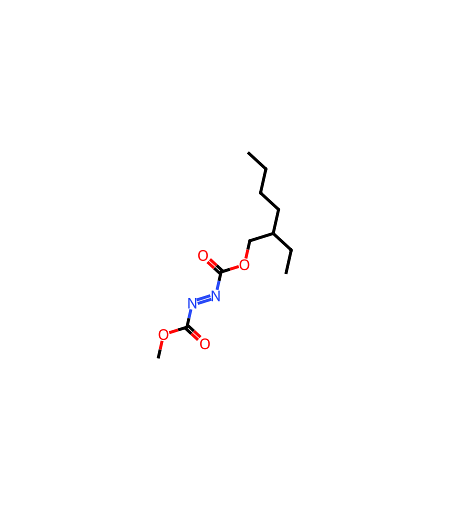 CCCCC(CC)COC(=O)N=NC(=O)OC